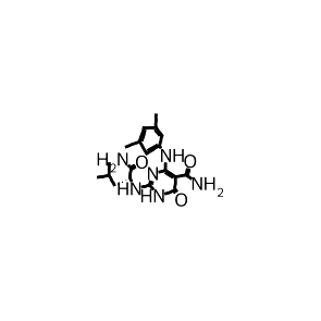 Cc1cc(C)cc(Nc2nc(N[C@H](CC(C)C)C(N)=O)[nH]c(=O)c2C(N)=O)c1